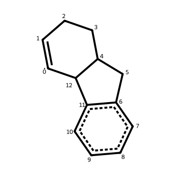 [C]1=CCCC2Cc3ccccc3C12